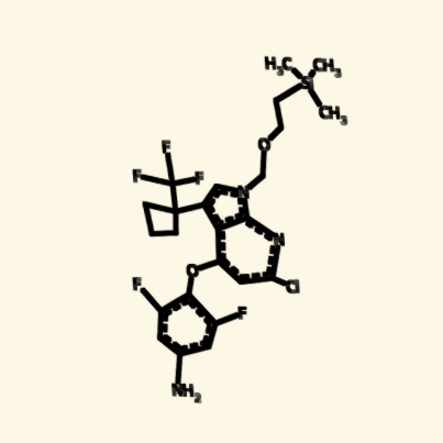 C[Si](C)(C)CCOCn1cc(C2(C(F)(F)F)CCC2)c2c(Oc3c(F)cc(N)cc3F)cc(Cl)nc21